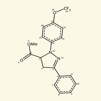 COC(=O)C1CC(c2ccccc2)=NN1c1ccc(OC(F)(F)F)cc1